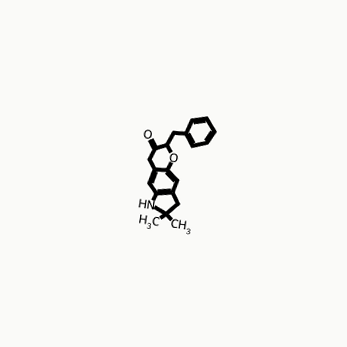 CC1(C)Cc2cc3c(cc2N1)CC(=O)C(Cc1ccccc1)O3